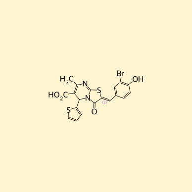 CC1=C(C(=O)O)C(c2cccs2)n2c(s/c(=C\c3ccc(O)c(Br)c3)c2=O)=N1